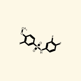 COc1ccc(S(=O)(=O)Nc2ccc(F)c(F)c2)cc1I